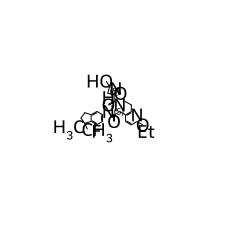 CCOc1ccc2c(n1)CCN(C(=O)C13CC(O)[N@@]1O3)[C@@H]2C(=O)Nc1cc(F)c2c(c1)CCC2(C)C